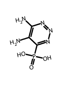 Nc1nnnc(P(=O)(O)O)c1N